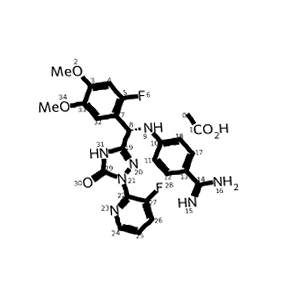 CC(=O)O.COc1cc(F)c([C@H](Nc2ccc(C(=N)N)cc2)c2nn(-c3ncccc3F)c(=O)[nH]2)cc1OC